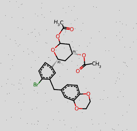 CC(=O)OC1C[C@H](OC(C)=O)C[C@H](c2ccc(Br)c(Cc3ccc4c(c3)OCCO4)c2)O1